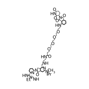 CCN(C=N)C(=N)c1cccc(N2Cc3c(cc(N(C)C(C)C)nc3CNCCNC(=O)CCOCCOCCOCCOCCNc3cccc4c3C(=O)N(C3CCC(=O)NC3=O)C4=O)C2=O)n1